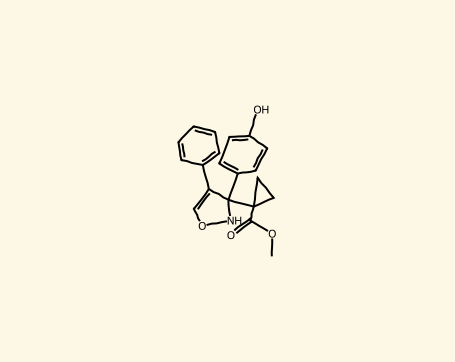 COC(=O)C1(C2(c3ccc(O)cc3)NOC=C2c2ccccc2)CC1